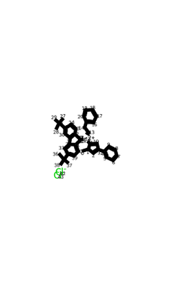 CC1C=C(c2ccccc2)C=[C]1/[Zr+2](=[CH]/Cc1ccccc1)[CH]1c2ccc(C(C)(C)C)cc2-c2cc(C(C)(C)C)ccc21.[Cl-].[Cl-]